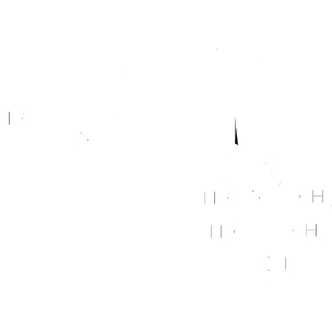 CCSc1ccc(C2C=C=C[C@H]2CO[Si](C)(C)C(C)(C)C)cc1